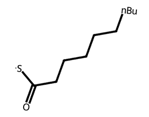 CCCCCCCCCC(=O)[S]